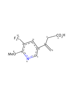 C=C(CC(=O)O)c1cnc(OC)c(C(F)(F)F)c1